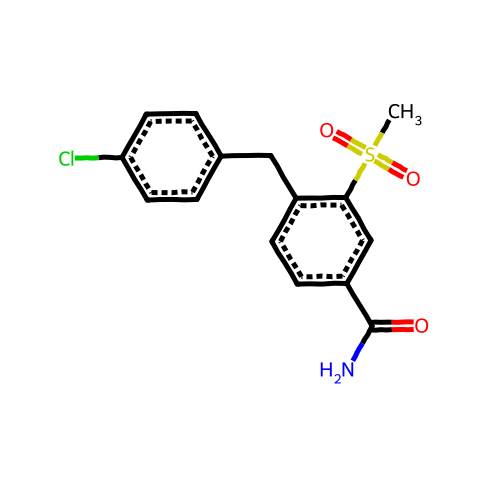 CS(=O)(=O)c1cc(C(N)=O)ccc1Cc1ccc(Cl)cc1